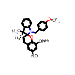 COc1cc(N=O)cc2c1OC1(C=C2)N(Cc2ccc(OC(F)(F)F)cc2)c2ccccc2C1(C)C